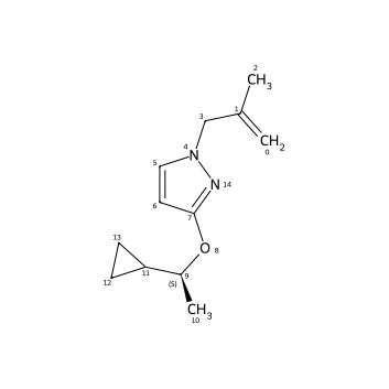 C=C(C)Cn1ccc(O[C@@H](C)C2CC2)n1